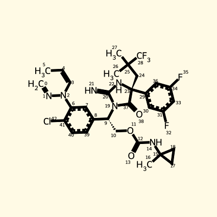 C=NN(/C=C\C)c1cc([C@@H](COC(=O)NC2(C)CC2)N2C(=N)N[C@](CC(C)(C)C(F)(F)F)(c3cc(F)cc(F)c3)C2=O)ccc1Cl